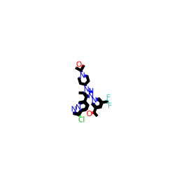 Cc1c(-c2cc(OC(C)c3cncc(C(F)F)c3)c3c(Cl)cnn3c2)nnn1C1CCN(C2COC2)CC1